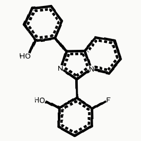 Oc1ccccc1-c1nc(-c2c(O)cccc2F)n2ccccc12